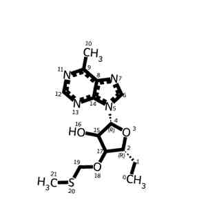 CC[C@H]1O[C@@H](n2cnc3c(C)ncnc32)C(O)C1OCSC